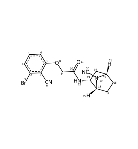 N#Cc1c(Br)cccc1OCC(=O)N[C@@H]1C[C@@H]2CC[C@H]1N2C#N